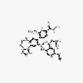 CCCNC(=O)c1ccc(-c2cc3c(cc2C(=O)Nc2ccc(CN)cc2OCC(CC)CC)-c2sccc2CCO3)c(C(=O)O)n1